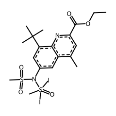 CCOC(=O)c1cc(C)c2cc(N(S(C)(=O)=O)S(C)(=O)(I)I)cc(C(C)(C)C)c2n1